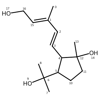 CC(C=CC1C(C(C)(C)O)CCC1(C)O)=CCO